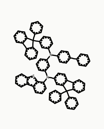 c1ccc(-c2ccc(N(c3cccc(N(c4ccc5c(c4)C(c4ccccc4)(c4ccccc4)c4ccccc4-5)c4cccc5c4sc4ccccc45)c3)c3cccc(C4(c5ccccc5)c5ccccc5-c5ccccc54)c3)cc2)cc1